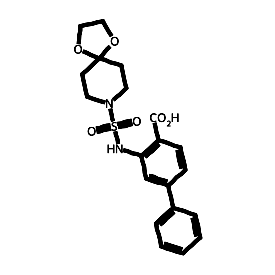 O=C(O)c1ccc(-c2ccccc2)cc1NS(=O)(=O)N1CCC2(CC1)OCCO2